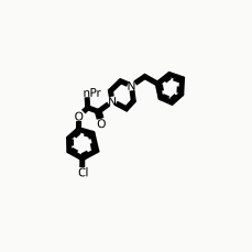 CCCC(Oc1ccc(Cl)cc1)C(=O)N1CCN(Cc2ccccc2)CC1